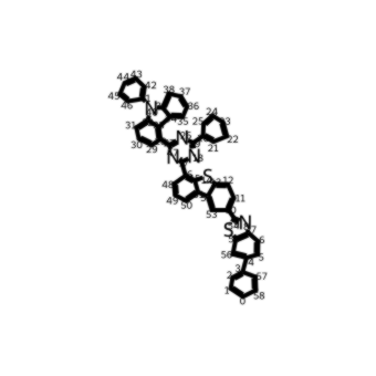 c1ccc(-c2ccc3nc(-c4ccc5sc6c(-c7nc(-c8ccccc8)nc(-c8cccc9c8c8ccccc8n9-c8ccccc8)n7)cccc6c5c4)sc3c2)cc1